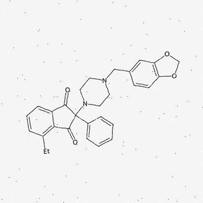 CCc1cccc2c1C(=O)C(c1ccccc1)(N1CCN(Cc3ccc4c(c3)OCO4)CC1)C2=O